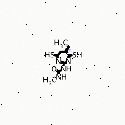 C/C=C1\CC(S)N=C(NC(=O)NC)N=C1S